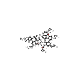 CCCCc1cc(OC)cc2c1op(O[C@@H](C[C@H](Op1oc3c(CCCC)cc(OC)cc3c3cc(OC)cc(CCCC)c3o1)c1ccccc1)c1ccccc1)oc1ccc(OC)cc12